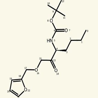 CCCC[C@H](NC(=O)OC(C)(C)C)C(=O)COCc1ccco1